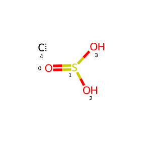 O=S(O)O.[C]